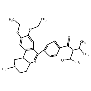 CCOc1cc2c(cc1OCC)C1CN(C)CCC1N=C2c1ccc(C(=O)N(C(C)C)C(C)C)cc1